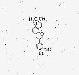 CCc1ccc(C2COc3c(ccc4c3CCC(C)(C)O4)C2)cc1N=O